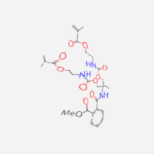 C=C(C)C(=O)OCCNC(=O)OCC(C)(COC(=O)NCCOC(=O)C(=C)C)NC(=O)c1ccccc1C(=O)OC